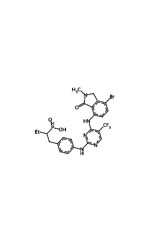 CCC(Cc1ccc(Nc2ncc(C(F)(F)F)c(Nc3ccc(Br)c4c3C(=O)N(C)C4)n2)cc1)[PH](=O)O